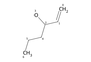 C=CC([O])CCC